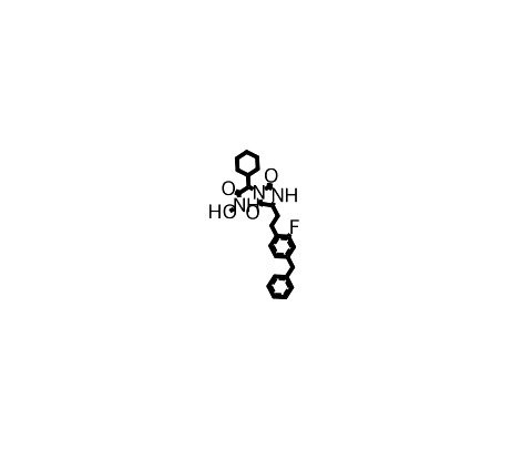 O=C(NO)C(C1CCCCC1)N1C(=O)NC(CCc2ccc(Cc3ccccc3)cc2F)C1=O